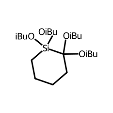 CC(C)COC1(OCC(C)C)CCCC[Si]1(OCC(C)C)OCC(C)C